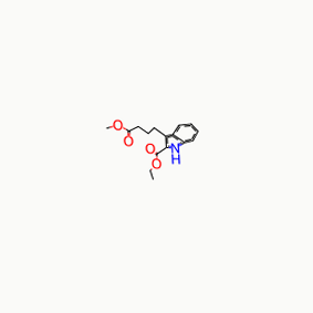 CCOC(=O)c1[nH]c2ccccc2c1CCCC(=O)OC